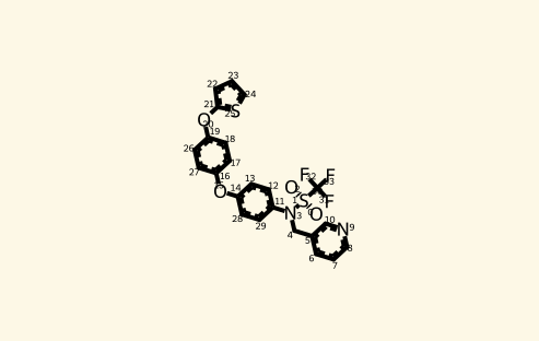 O=S(=O)(N(Cc1cccnc1)c1ccc(Oc2ccc(Oc3cccs3)cc2)cc1)C(F)(F)F